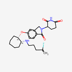 C=C(F)CCCN[C@@H]1CCCCC[C@@H]1Oc1ccc2c(c1)CN(C1CCC(=O)NC1=O)C2=O